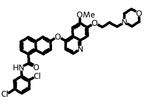 COc1cc2c(Oc3ccc4c(C(=O)Nc5cc(Cl)ccc5Cl)cccc4c3)ccnc2cc1OCCCN1CCOCC1